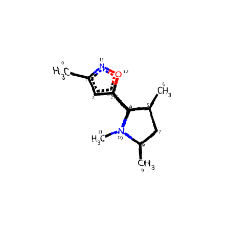 Cc1cc(C2C(C)CC(C)N2C)on1